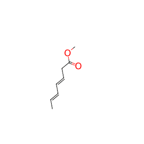 CC=CC=CCC(=O)OC